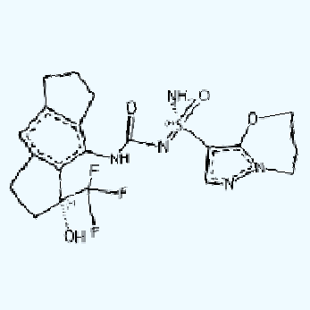 N[S@@](=O)(=NC(=O)Nc1c2c(cc3c1[C@@](O)(C(F)(F)F)CC3)CCC2)c1cnn2c1OCCC2